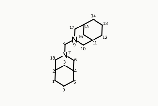 C1CC2CC(C1)CN(CN1CC3CCCC(C3)C1)C2